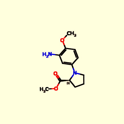 COC(=O)[C@@H]1CCCN1c1ccc(OC)c(N)c1